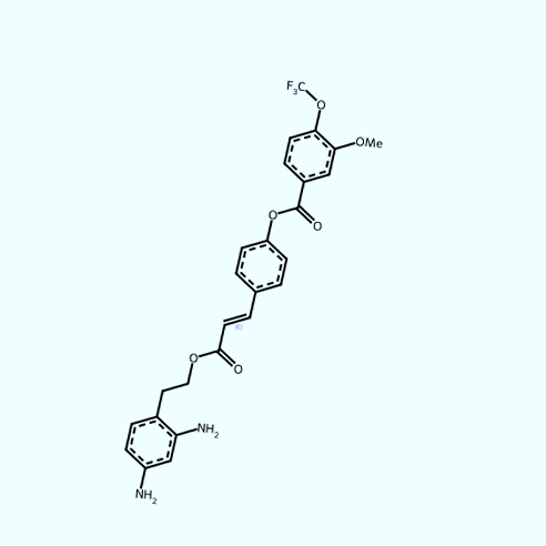 COc1cc(C(=O)Oc2ccc(/C=C/C(=O)OCCc3ccc(N)cc3N)cc2)ccc1OC(F)(F)F